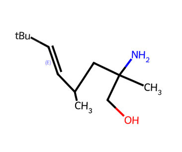 CC(/C=C/C(C)(C)C)CC(C)(N)CO